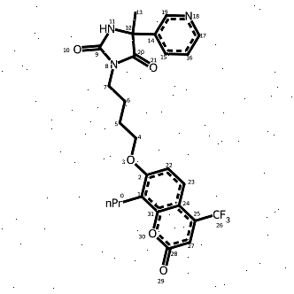 CCCc1c(OCCCCN2C(=O)NC(C)(c3cccnc3)C2=O)ccc2c(C(F)(F)F)cc(=O)oc12